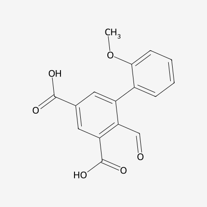 COc1ccccc1-c1cc(C(=O)O)cc(C(=O)O)c1C=O